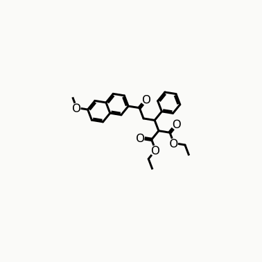 CCOC(=O)C(C(=O)OCC)C(CC(=O)c1ccc2cc(OC)ccc2c1)c1ccccc1